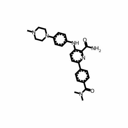 CN1CCN(c2ccc(Nc3ccc(-c4ccc(C(=O)N(C)C)cc4)nc3C(N)=O)cc2)CC1